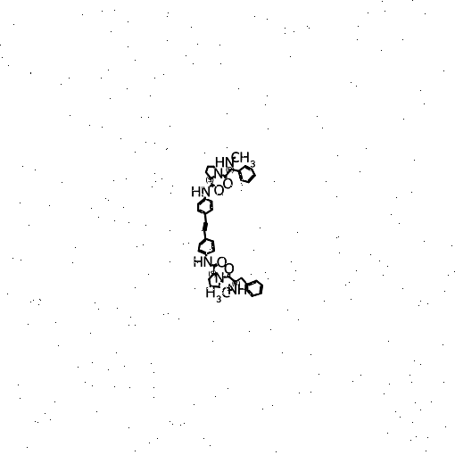 CN[C@H](Cc1ccccc1)C(=O)N1CCC[C@H]1C(=O)Nc1ccc(C#Cc2ccc(NC(=O)[C@@H]3CCCN3C(=O)[C@H](NC)c3ccccc3)cc2)cc1